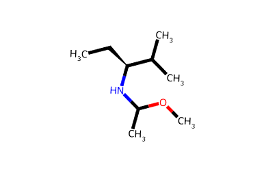 CC[C@H](NC(C)OC)C(C)C